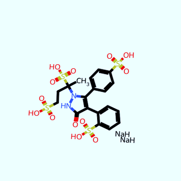 CC(CCS(=O)(=O)O)(n1[nH]c(=O)c(-c2ccccc2S(=O)(=O)O)c1-c1ccc(S(=O)(=O)O)cc1)S(=O)(=O)O.[NaH].[NaH]